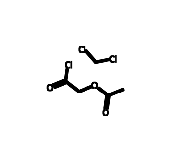 CC(=O)OCC(=O)Cl.ClCCl